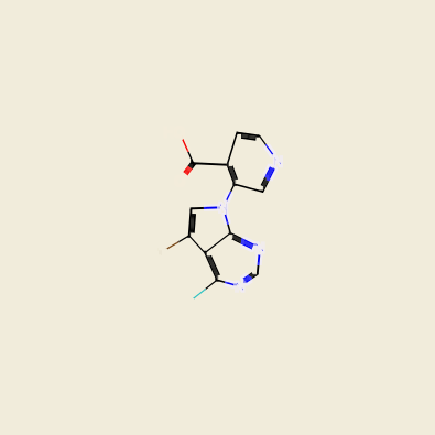 O=C(O)c1ccncc1-n1cc(Br)c2c(F)ncnc21